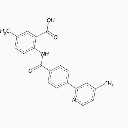 Cc1ccnc(-c2ccc(C(=O)Nc3ccc(C)cc3C(=O)O)cc2)c1